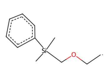 [CH2]COC[Si](C)(C)c1ccccc1